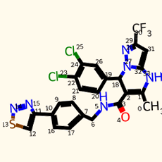 CC1=C(C(=O)NCc2ccc(-c3csnn3)cc2)C(c2ccc(Cl)c(Cl)c2)n2nc(C(F)(F)F)cc2N1